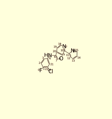 Fc1ccc(Nc2coc3c(-c4ccccn4)nccc23)cc1Cl